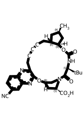 C[C@@H]1C[C@H]2CCCCCc3nc4ccc(C#N)cc4nc3O[C@@H]3C[C@@H](C(=O)O)N(C3)C(=O)[C@H](C(C)(C)C)NC(=O)O[C@@H]2C1